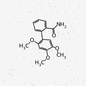 COc1cc(OC)c(-c2ccccc2C(N)=O)cc1OC